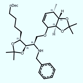 CCCCCCCCCCCCCC[C@@H]1OC(C)(C)O[C@@H]1[C@@H](COC1C=C[C@H](C)[C@@H]2OC(C)(C)O[C@@H]12)NCc1ccccc1